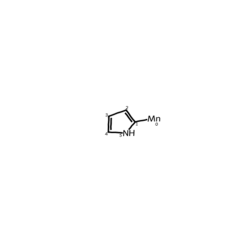 [Mn][c]1ccc[nH]1